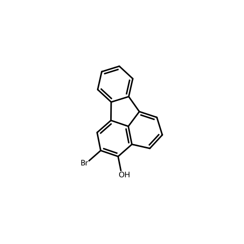 Oc1c(Br)cc2c3c(cccc13)-c1ccccc1-2